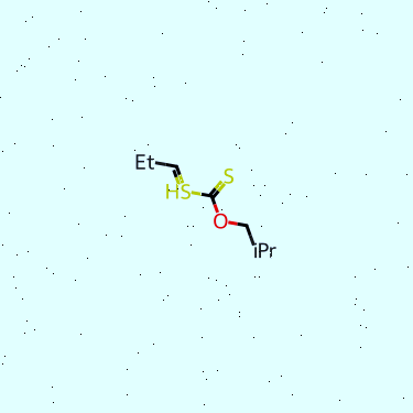 CCC=[SH]C(=S)OCC(C)C